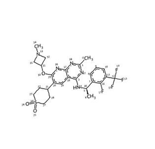 Cc1nc(N[C@H](C)c2cccc(C(F)(F)F)c2F)c2cc(C3CCS(=O)(=O)CC3)c(OC3CN(C)C3)nc2n1